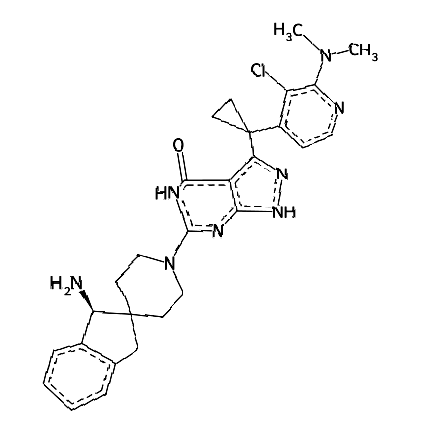 CN(C)c1nccc(C2(c3n[nH]c4nc(N5CCC6(CC5)Cc5ccccc5[C@H]6N)[nH]c(=O)c34)CC2)c1Cl